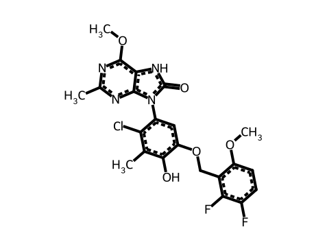 COc1ccc(F)c(F)c1COc1cc(-n2c(=O)[nH]c3c(OC)nc(C)nc32)c(Cl)c(C)c1O